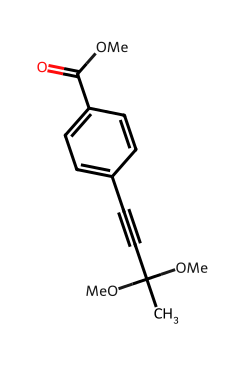 COC(=O)c1ccc(C#CC(C)(OC)OC)cc1